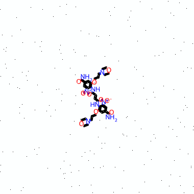 NC(=O)c1cc(OCCCN2CCOCC2)c(NCC=CCNc2c(OCCCN3CCOCC3)cc(C(N)=O)cc2[N+](=O)[O-])c([N+](=O)[O-])c1